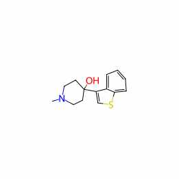 CN1CCC(O)(c2csc3ccccc23)CC1